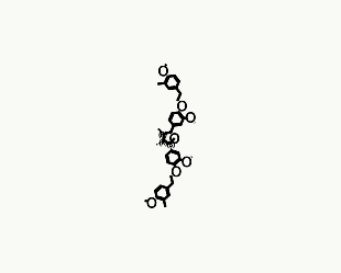 COc1ccc(CCOc2ccc(C3O[C@H](c4ccc(OCCc5ccc(OC)c(C)c5)c(OC)c4)[C@H](C)[C@H]3C)cc2OC)cc1C